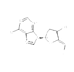 Nc1ncnc2c1ncn2[C@H]1CC(O)/C(=C/Cl)O1